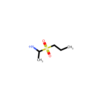 CCCS(=O)(=O)C(C)[NH]